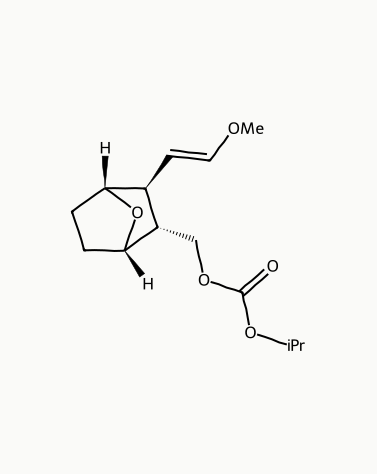 CO/C=C/[C@H]1[C@H](COC(=O)OC(C)C)[C@@H]2CC[C@H]1O2